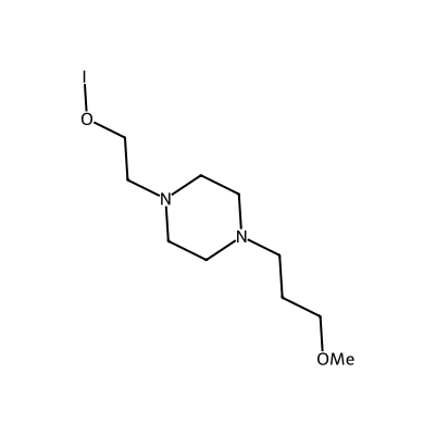 COCCCN1CCN(CCOI)CC1